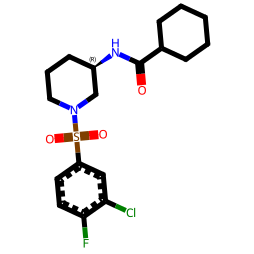 O=C(N[C@@H]1CCCN(S(=O)(=O)c2ccc(F)c(Cl)c2)C1)C1CCCCC1